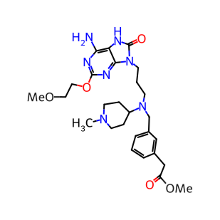 COCCOc1nc(N)c2[nH]c(=O)n(CCCN(Cc3cccc(CC(=O)OC)c3)C3CCN(C)CC3)c2n1